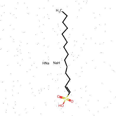 CCCCCCCCCCCCC=CS(=O)(=O)O.[NaH].[NaH]